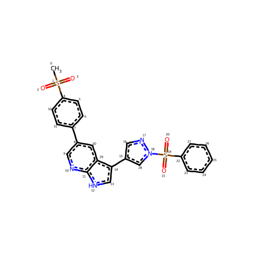 CS(=O)(=O)c1ccc(-c2cnc3[nH]cc(-c4cnn(S(=O)(=O)c5ccccc5)c4)c3c2)cc1